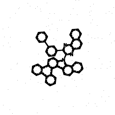 c1ccc(-c2cccc(-c3nc4c(ccc5ccccc54)nc3-n3c4ccc5c6ccccc6c6ccccc6c5c4c4ccc5ccccc5c43)c2)cc1